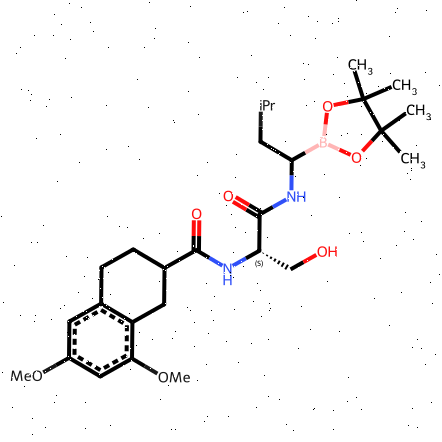 COc1cc2c(c(OC)c1)CC(C(=O)N[C@@H](CO)C(=O)NC(CC(C)C)B1OC(C)(C)C(C)(C)O1)CC2